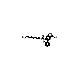 CCCCCCCCOC(=O)Nc1cc(O)c(C(=O)O)cc1-c1ccccc1